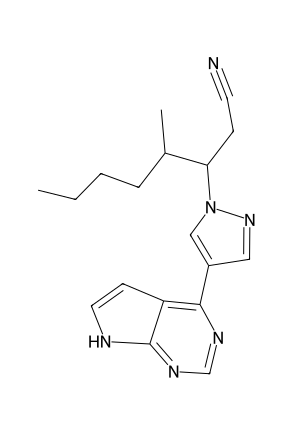 CCCCC(C)C(CC#N)n1cc(-c2ncnc3[nH]ccc23)cn1